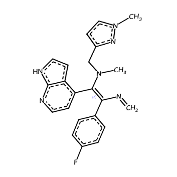 C=N/C(=C(/c1ccnc2[nH]ccc12)N(C)Cc1ccn(C)n1)c1ccc(F)cc1